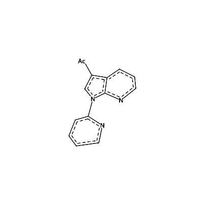 CC(=O)c1cn(-c2ccccn2)c2ncccc12